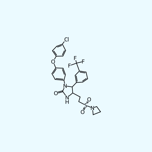 O=C1NC(CCS(=O)(=O)N2CCC2)C(c2cccc(C(F)(F)F)c2)N1c1ccc(Oc2ccc(Cl)cc2)cc1